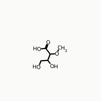 COC(C(=O)O)C(O)CO